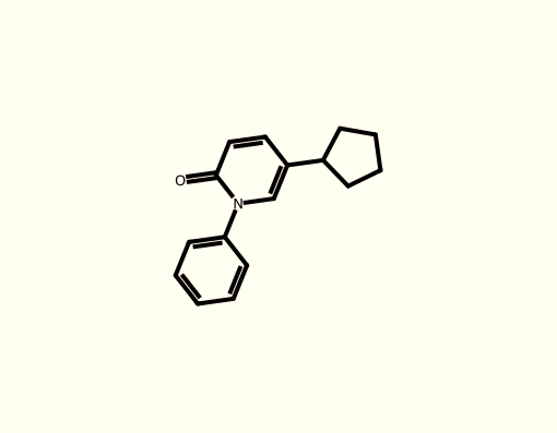 O=c1ccc(C2CCCC2)cn1-c1ccccc1